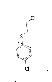 ClCCSc1ccc(Cl)cc1